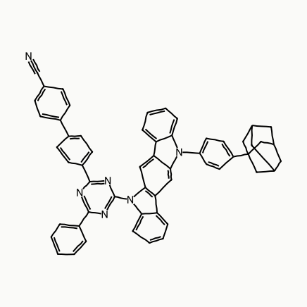 N#Cc1ccc(-c2ccc(-c3nc(-c4ccccc4)nc(-n4c5ccccc5c5cc6c(cc54)c4ccccc4n6-c4ccc(C56CC7CC(CC(C7)C5)C6)cc4)n3)cc2)cc1